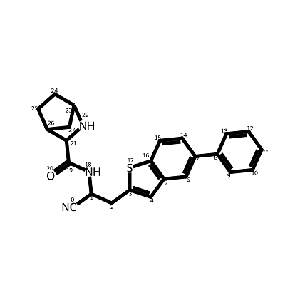 N#CC(Cc1cc2cc(-c3ccccc3)ccc2s1)NC(=O)C1NC2CCC1C2